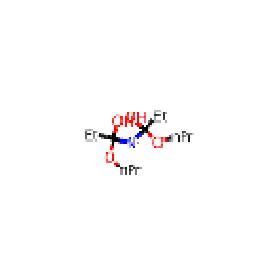 CCCOC(O)(CC)[N]C(O)(CC)OCCC